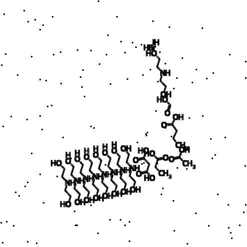 Br.CC(=O)O.CCC(=O)O.CCCC(=O)O.I.O=C(O)CC(=O)O.O=CO.OCCNCCO.OCCNCCO.OCCNCCO.OCCNCCO.OCCNCCO.OCCNCCO.OCCNCCO.OCCNCCO.OCCNCCO